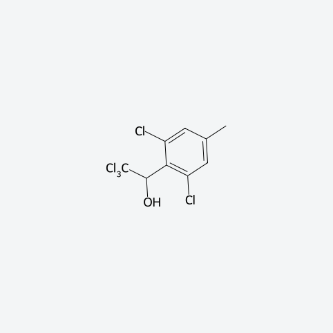 Cc1cc(Cl)c(C(O)C(Cl)(Cl)Cl)c(Cl)c1